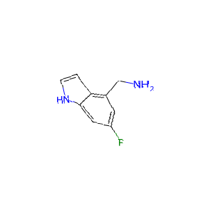 NCc1cc(F)cc2[nH]ccc12